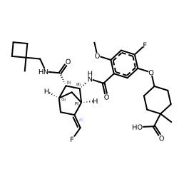 COc1cc(F)c(OC2CCC(C)(C(=O)O)CC2)cc1C(=O)N[C@H]1[C@@H](C(=O)NCC2(C)CCC2)[C@@H]2C/C(=C\F)[C@H]1C2